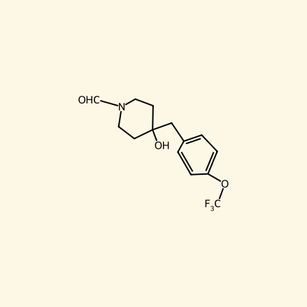 O=CN1CCC(O)(Cc2ccc(OC(F)(F)F)cc2)CC1